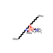 CCCCCCCCCCCCCCCCCCOCC(CN(CCCCCCCCCCCCCCCCCC)C(=O)NC)OP(=O)([O-])OCC[N+](C)(C)C